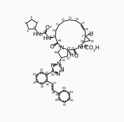 O=C(NC1CCCC1)N[C@H]1CCCCC/C=C\[C@@H]2C[C@@]2(C(=O)O)NC(=O)[C@@H]2C[C@@H](n3nnc(-c4ccccc4/C=C/c4ccccc4)n3)CN2C1=O